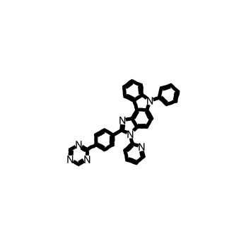 c1ccc(-n2c3ccccc3c3c4nc(-c5ccc(-c6ncncn6)cc5)n(-c5ccccn5)c4ccc32)cc1